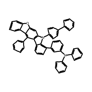 c1ccc(-c2ccc(-n3c4cc5oc6ccccc6c5c(-c5ccccc5)c4c4cccc(-c5cccc(N(c6ccccc6)c6ccccc6)c5)c43)cc2)cc1